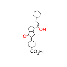 CCOC(=O)C1CCC(=C2CC3C(CC[C@@H]3/C(O)=C\CC3CCCCC3)C2=O)CC1